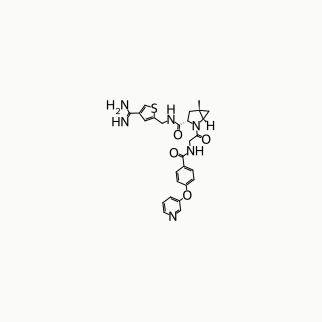 C[C@@]12C[C@@H]1N(C(=O)CNC(=O)c1ccc(Oc3cccnc3)cc1)[C@H](C(=O)NCc1cc(C(=N)N)cs1)C2